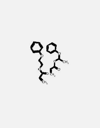 C=CC(=O)OC(C)Oc1ccccc1.C=CC(=O)OCCOc1ccccc1